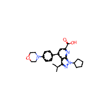 CC(C)c1nn(C2CCCC2)c2nc(C(=O)O)cc(-c3ccc(N4CCOCC4)cc3)c12